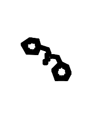 [O]=[Sn]([CH2]c1ccccc1)[CH2]c1ccccc1